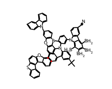 Bc1c(B)c(B)c2c(c1B)c1cc(C#N)ccc1n2-c1ccc2c(c1)N(c1ccc(C(C)(C)C)cc1-c1ccccc1)c1cc(-c3cccc4c3oc3ccc5sc6ccccc6c5c34)cc3c1B2c1ccc(-n2c4ccccc4c4ccccc42)cc1O3